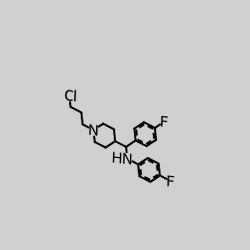 Fc1ccc(NC(c2ccc(F)cc2)C2CCN(CCCCl)CC2)cc1